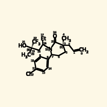 C=CC[C@@]1(C)CCC(c2ccc(Cl)cc2)N(C(CC)C[C@@](C)(O)C(F)(F)F)C1=O